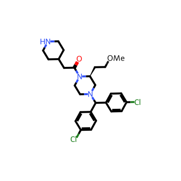 COCC[C@H]1CN(C(c2ccc(Cl)cc2)c2ccc(Cl)cc2)CCN1C(=O)CC1CCNCC1